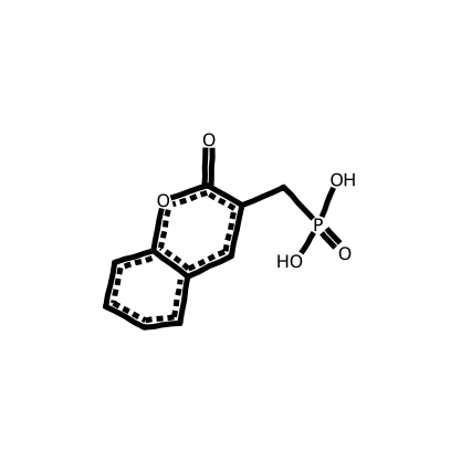 O=c1oc2ccccc2cc1CP(=O)(O)O